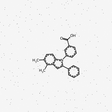 Cc1ccc2c(cc(-c3ccccc3)n2-c2cccc(C(=O)O)c2)c1C